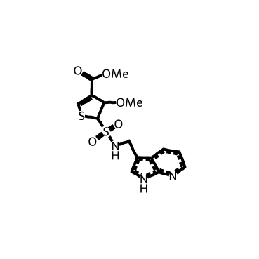 COC(=O)C1=CSC(S(=O)(=O)NCc2c[nH]c3ncccc23)C1OC